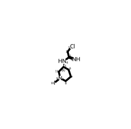 N=C(CCl)N[C@@H]1CCCN(I)C1